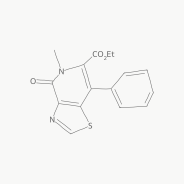 CCOC(=O)c1c(-c2ccccc2)c2scnc2c(=O)n1C